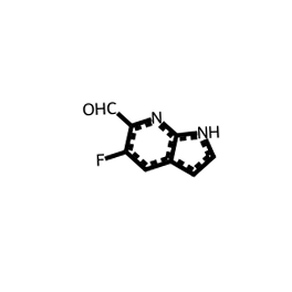 O=Cc1nc2[nH]ccc2cc1F